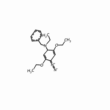 CCOC1=CC(N(CC)Cc2ccccc2)C(OCC)=CC1=[N+]=[N-]